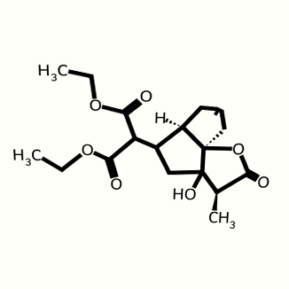 CCOC(=O)C(C(=O)OCC)C1CC2(O)[C@H](C)C(=O)O[C@@]23CC=CC[C@H]13